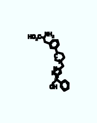 NC(Cc1cccc(C2CCN(Cc3cn([C@H](CO)c4ccccc4)nn3)CC2)c1)C(=O)O